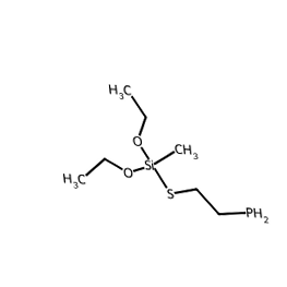 CCO[Si](C)(OCC)SCCP